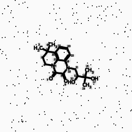 CC1(C)CCn2c(=O)c(=O)n(CC(O)C(C)(C)O)c3cccc1c32